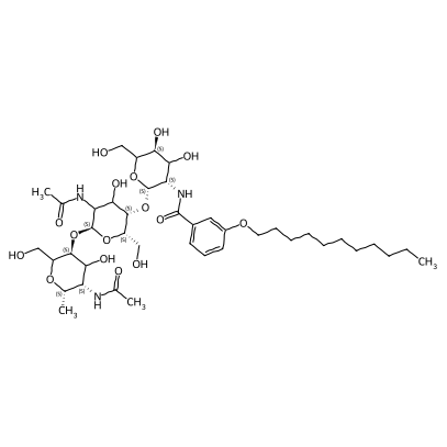 CCCCCCCCCCCOc1cccc(C(=O)N[C@H]2C(O)[C@H](O)C(CO)O[C@H]2O[C@H]2C(O)C(NC(C)=O)[C@H](O[C@@H]3C(CO)O[C@@H](C)[C@@H](NC(C)=O)C3O)O[C@H]2CO)c1